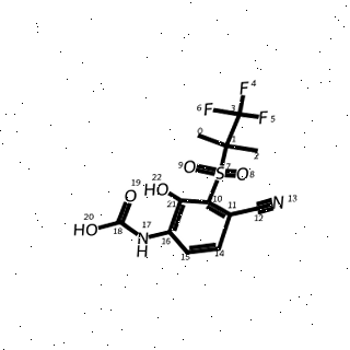 CC(C)(C(F)(F)F)S(=O)(=O)c1c(C#N)ccc(NC(=O)O)c1O